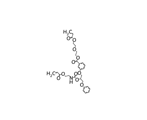 C=CC(=O)OCCNC(=O)OC(COc1ccccc1)COc1cccc(C(=O)OCCOCCOC(=O)C=C)c1